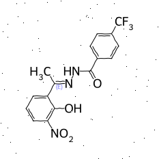 C/C(=N\NC(=O)c1ccc(C(F)(F)F)cc1)c1cccc([N+](=O)[O-])c1O